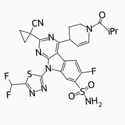 CC(C)C(=O)N1C=CC(c2nc(C3(C#N)CC3)nc3c2c2cc(F)c(S(N)(=O)=O)cc2n3-c2nnc(C(F)F)s2)CC1